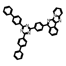 c1ccc(-c2ccc(-c3nc(-c4ccc(-c5ccccc5)cc4)nc(-c4ccc(-c5nc6c(nc7ccccn76)c6ccccc56)cc4)n3)cc2)cc1